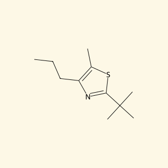 CCCc1nc(C(C)(C)C)sc1C